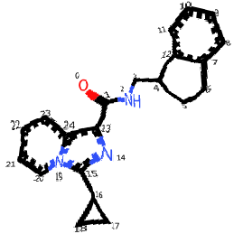 O=C(NCC1CCc2ccccc21)c1nc(C2CC2)n2ccccc12